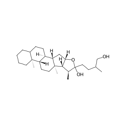 CC(CO)CCC1(O)O[C@H]2C[C@H]3[C@@H]4CCC5CCCC[C@]5(C)[C@H]4CC[C@]3(C)[C@H]2[C@@H]1C